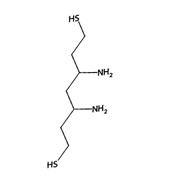 NC(CCS)CC(N)CCS